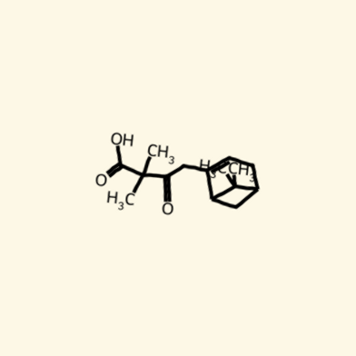 CC(C)(C(=O)O)C(=O)CC1=CCC2CC1C2(C)C